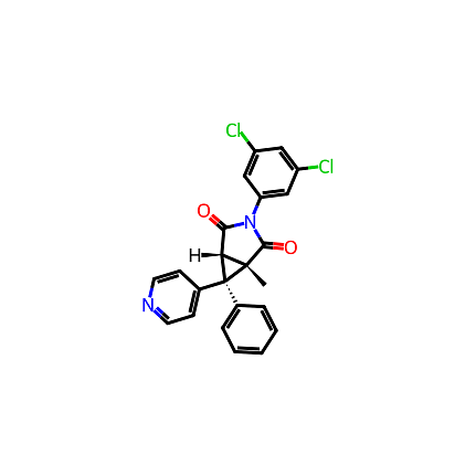 C[C@]12C(=O)N(c3cc(Cl)cc(Cl)c3)C(=O)[C@H]1[C@]2(c1ccccc1)c1ccncc1